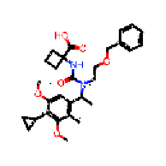 COc1cc(C(C)N(CCOCc2ccccc2)C(=O)NC2(C(=O)O)CCC2)c(C)c(OC)c1C1CC1